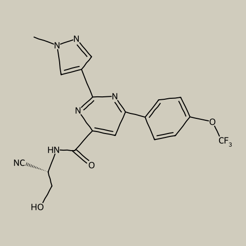 Cn1cc(-c2nc(C(=O)N[C@@H](C#N)CO)cc(-c3ccc(OC(F)(F)F)cc3)n2)cn1